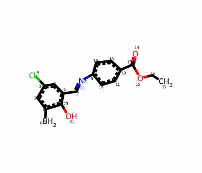 Bc1cc(Cl)cc(/C=N/c2ccc(C(=O)OCC)cc2)c1O